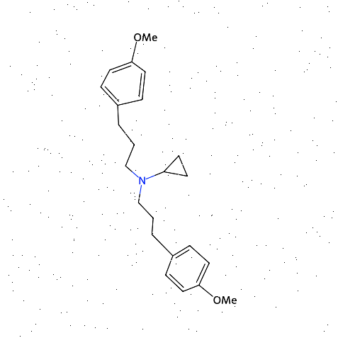 COc1ccc(CCCN(CCCc2ccc(OC)cc2)C2CC2)cc1